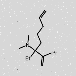 C=CCCCC(CC)(C(=C)C(C)C)N(C)C